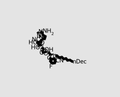 CCCCCCCCCCCCCCCCCCOC[C@H](COP(=O)(O)OC[C@H]1O[C@@](C#N)(c2ccc3c(N)ncnn23)[C@H](O)[C@@H]1O)Oc1cc(F)cc(C#N)c1